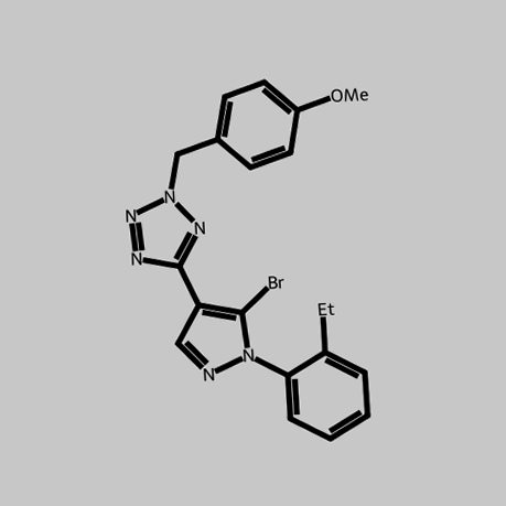 CCc1ccccc1-n1ncc(-c2nnn(Cc3ccc(OC)cc3)n2)c1Br